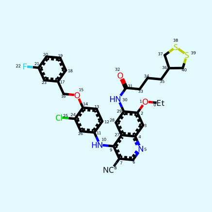 CCOc1cc2ncc(C#N)c(Nc3ccc(OCc4cccc(F)c4)c(Cl)c3)c2cc1NC(=O)CCCC1CSSC1